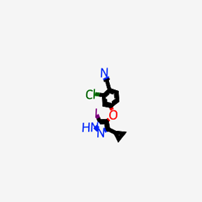 N#Cc1ccc(Oc2c(C3CC3)n[nH]c2I)cc1Cl